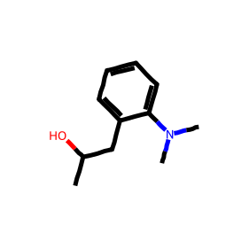 CC(O)Cc1ccccc1N(C)C